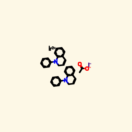 C1=Cc2ccccc2N(c2ccccc2)C1.C1=Cc2ccccc2N(c2ccccc2)C1.CC(=O)[O-].[I-].[Ir+2]